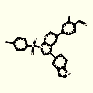 Cc1ccc(S(=O)(=O)n2cc(-c3ccc4[nH]ccc4c3)c3cc(-c4ccc(C=O)c(C)c4)cnc32)cc1